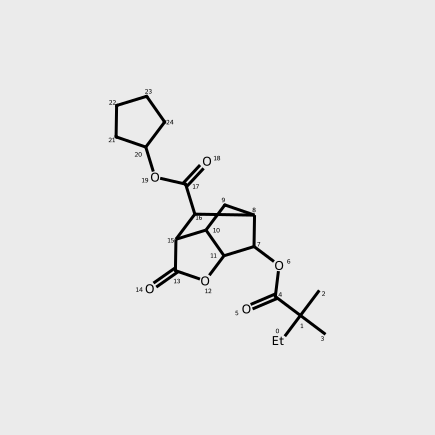 CCC(C)(C)C(=O)OC1C2CC3C1OC(=O)C3C2C(=O)OC1CCCC1